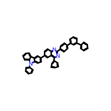 c1ccc(-c2cccc(-c3ccc(-c4nc(-c5ccccc5)c5cc(-c6ccc7c(c6)c6ccccc6n7-c6ccccc6)ccc5n4)cc3)c2)cc1